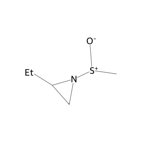 CCC1CN1[S+](C)[O-]